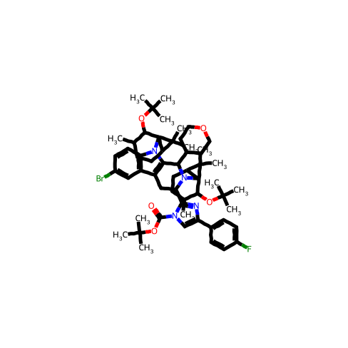 CC1CCC2C(C)(C)C2(N2C(c3nc(-c4ccc(F)cc4)cn3C(=O)OC(C)(C)C)Cc3c(n(C45C(OC(C)(C)C)C(C)CCC4C5(C)C)c4ccc(Br)cc34)C2C2CCOCC2)C1OC(C)(C)C